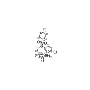 BC1(O)c2cc(Cl)ccc2N(S(=O)(=O)c2ccc(C)cc2)CCC1(F)F